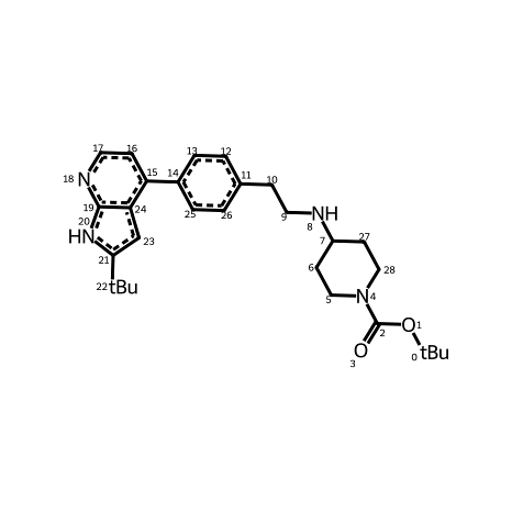 CC(C)(C)OC(=O)N1CCC(NCCc2ccc(-c3ccnc4[nH]c(C(C)(C)C)cc34)cc2)CC1